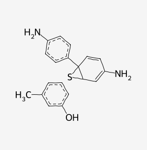 Cc1cccc(O)c1.NC1=CC2SC2(c2ccc(N)cc2)C=C1